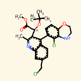 COC(=O)[C@@H](OC(C)(C)C)c1c(C)nc2cc(CCl)ccc2c1-c1ccc2c(c1Cl)NCCO2